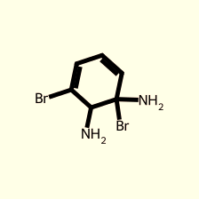 NC1C(Br)=CC=CC1(N)Br